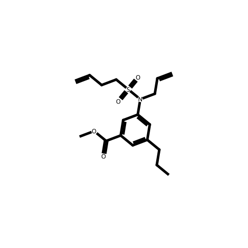 C=CCCS(=O)(=O)N(CC=C)c1cc(CCC)cc(C(=O)OC)c1